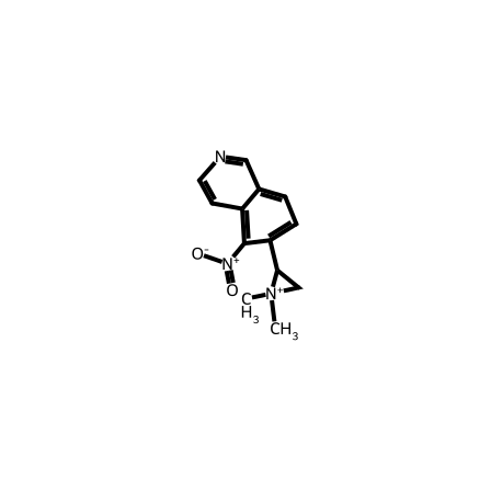 C[N+]1(C)CC1c1ccc2cnccc2c1[N+](=O)[O-]